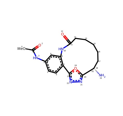 COC(=O)Nc1ccc2c(c1)NC(=O)CCCCC[C@H](N)c1nnc-2o1